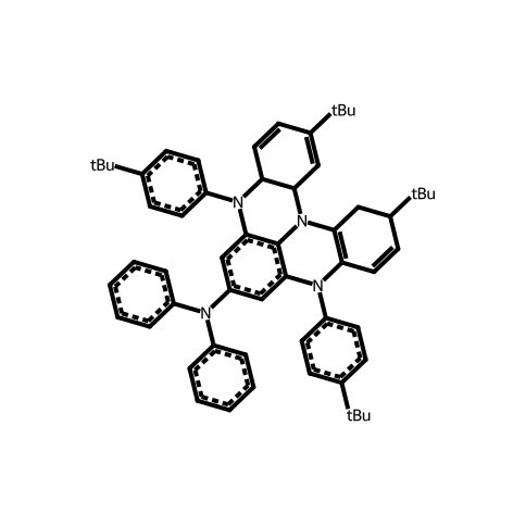 CC(C)(C)C1=CC2C(C=C1)N(c1ccc(C(C)(C)C)cc1)c1cc(N(c3ccccc3)c3ccccc3)cc3c1N2C1=C(C=CC(C(C)(C)C)C1)N3c1ccc(C(C)(C)C)cc1